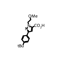 COCCn1nc(-c2ccc(C(C)(C)C)cc2)cc1C(=O)O